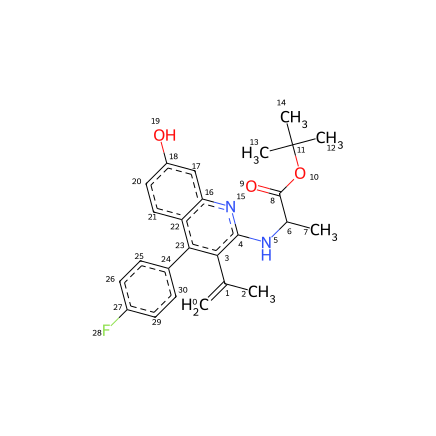 C=C(C)c1c(NC(C)C(=O)OC(C)(C)C)nc2cc(O)ccc2c1-c1ccc(F)cc1